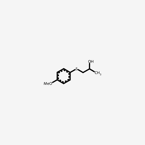 COc1ccc(SCC(C)O)cc1